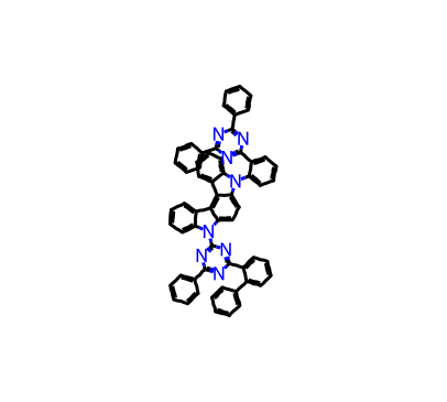 c1ccc(-c2nc(-c3ccccc3)nc(-c3ccccc3-n3c4ccccc4c4c5c6ccccc6n(-c6nc(-c7ccccc7)nc(-c7ccccc7-c7ccccc7)n6)c5ccc43)n2)cc1